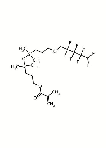 C=C(C)C(=O)OCCC[Si](C)(C)O[Si](C)(C)CCCOCC(F)(F)C(F)(F)C(F)(F)C(F)F